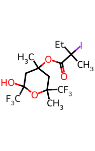 CCC(C)(I)C(=O)OC1(C)CC(C)(C(F)(F)F)OC(O)(C(F)(F)F)C1